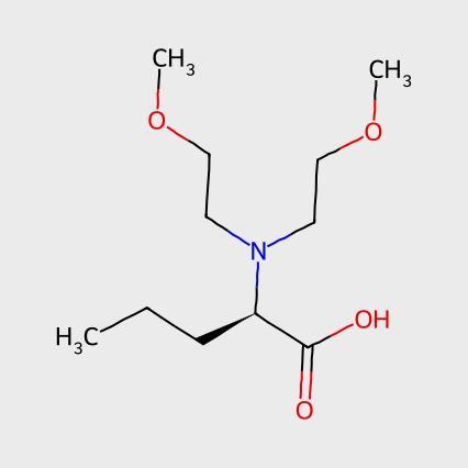 CCC[C@H](C(=O)O)N(CCOC)CCOC